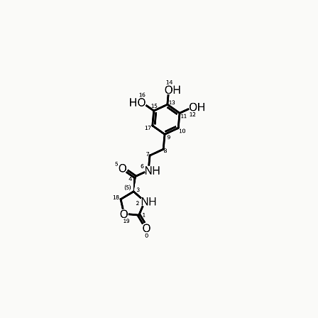 O=C1N[C@H](C(=O)NCCc2cc(O)c(O)c(O)c2)CO1